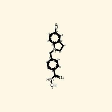 O=C(NO)c1ccc(CN2CCc3cc(Cl)ccc32)cc1